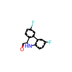 O=CC1Nc2ccc(F)cc2-c2cc(F)ccc21